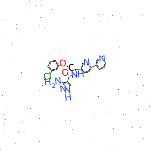 Nc1n[nH]cc1C(=O)NC(CCOc1cccc(Cl)c1)c1ccc(-c2cccnc2)nc1